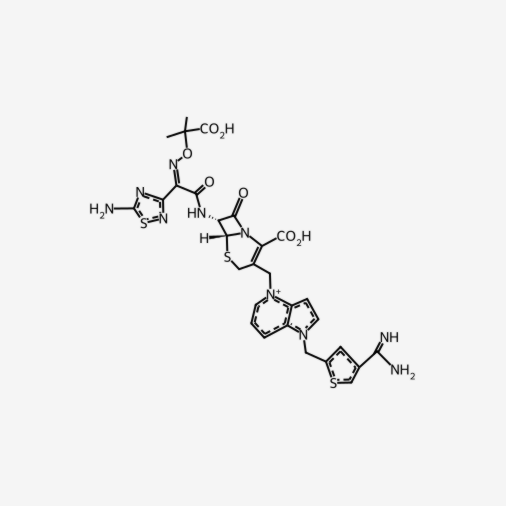 CC(C)(O/N=C(\C(=O)N[C@@H]1C(=O)N2C(C(=O)O)=C(C[n+]3cccc4c3ccn4Cc3cc(C(=N)N)cs3)CS[C@H]12)c1nsc(N)n1)C(=O)O